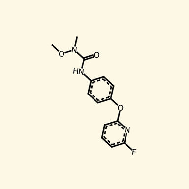 CON(C)C(=O)Nc1ccc(Oc2cccc(F)n2)cc1